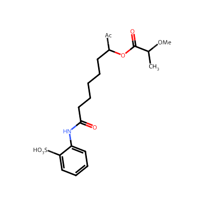 COC(C)C(=O)OC(CCCCCC(=O)Nc1ccccc1S(=O)(=O)O)C(C)=O